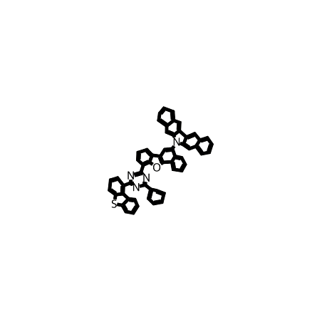 c1ccc(-c2nc(-c3cccc4c3oc3c5ccccc5c(-n5c6cc7ccccc7cc6c6cc7ccccc7cc65)cc43)nc(-c3cccc4sc5ccccc5c34)n2)cc1